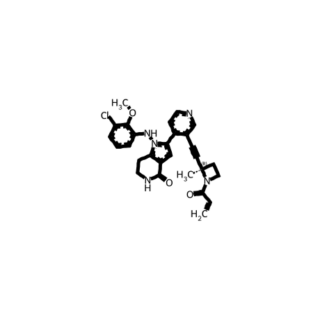 C=CC(=O)N1CC[C@]1(C)C#Cc1cnccc1-c1cc2c(n1Nc1cccc(Cl)c1OC)CCNC2=O